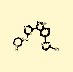 CC(C)c1ccnc(-c2ccc3[nH]nc(-c4cncc(O[C@@H]5CCCNC5)n4)c3c2)n1